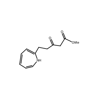 COC(=O)CC(=O)CCC1=CC=CC=CN1